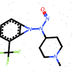 CN1CCC(N(N=O)N2c3cccc(C(F)(F)F)c32)CC1